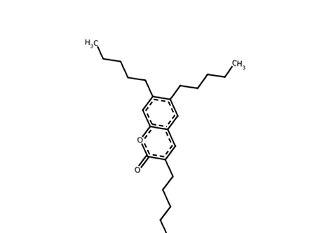 CCCCCc1cc2cc(CCCCC)c(=O)oc2cc1CCCCC